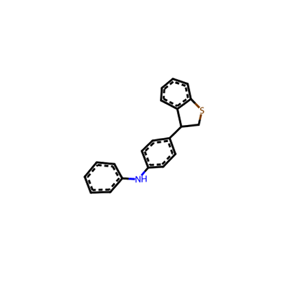 c1ccc(Nc2ccc(C3CSc4ccccc43)cc2)cc1